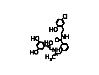 C[C@H](Cc1cccc(C(=O)NCCc2cc(Cl)ccc2O)c1)NC[C@H](O)c1cc(O)cc(O)c1